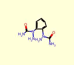 NC(=O)N(N)c1ccccc1N(N)C(N)=O